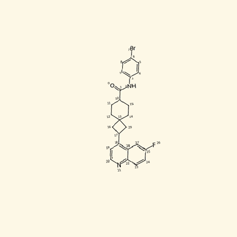 O=C(Nc1ccc(Br)cc1)C1CCC2(CC1)CC(c1ccnc3ccc(F)cc13)C2